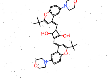 CC(C)(C)C1=C/C(=C\C2=C(O)C(/C=C3\C=C(C(C)(C)C)Oc4ccc(N5CCOCC5)cc43)C2O)c2cc(N3CCOCC3)ccc2O1